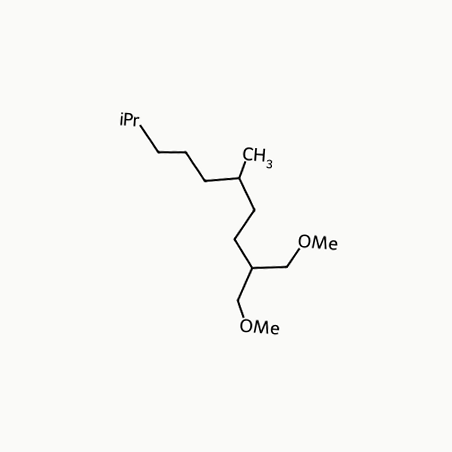 COCC(CCC(C)CCCC(C)C)COC